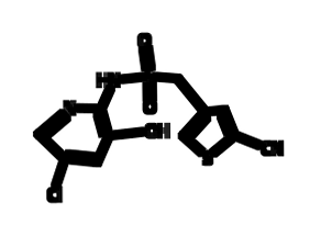 N#Cc1cc(CS(=O)(=O)Nc2ncc(Cl)cc2O)cs1